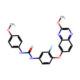 COc1ccc(NC(=O)Nc2ccc(Oc3ccc4ncc(OC)nc4c3)c(F)c2)cc1